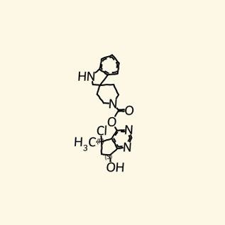 C[C@@]1(Cl)C[C@H](O)c2ncnc(OC(=O)N3CCC4(CC3)CNc3ccccc34)c21